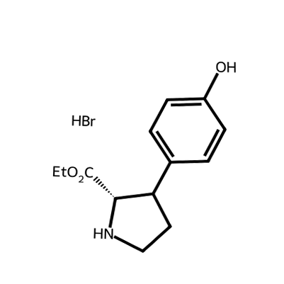 Br.CCOC(=O)[C@H]1NCCC1c1ccc(O)cc1